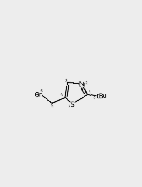 CC(C)(C)c1ncc(CBr)s1